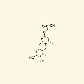 Cc1cc(OCP(C)(=O)O)cc(C)c1Cc1ccc(O)c(C(C)C)c1C